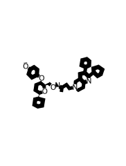 COc1ccc(O[C@H]2C=C[C@@H](c3ccccc3)O[C@@H]2CO/N=C(\C)CCN2CCc3nc(-c4ccccc4)c(-c4ccccc4)cc3C2)cc1